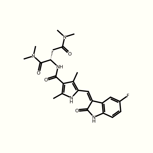 Cc1[nH]c(/C=C2\C(=O)Nc3ccc(F)cc32)c(C)c1C(=O)N[C@@H](CC(=O)N(C)C)C(=O)N(C)C